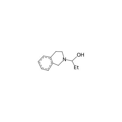 CCC(O)N1CCc2ccccc2C1